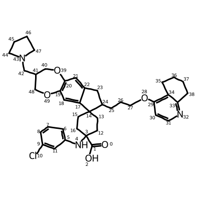 O=C(O)C1(Nc2cccc(Cl)c2)CCC2(CC1)c1cc3c(cc1CC2CCCOc1ccnc2c1CCCC2)OCC(CN1CCCC1)CO3